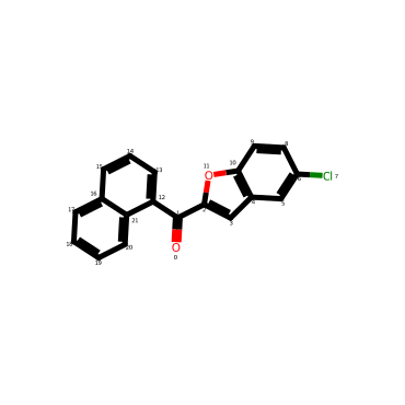 O=C(c1cc2cc(Cl)ccc2o1)c1cccc2ccccc12